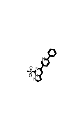 CS(=O)(=O)c1nc(-c2ccc(-c3ccccc3)nc2)cc2ccnn12